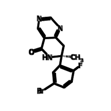 C[C@@]1(c2cc(Br)ccc2F)Cc2ncncc2C(=O)N1